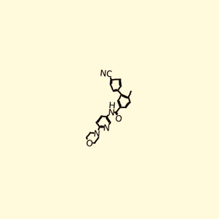 Cc1ccc(C(=O)Nc2ccc(N3CCOCC3)nc2)cc1-c1ccc(C#N)cc1